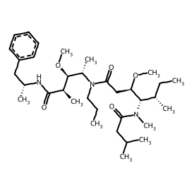 CCCN(C(=O)C[C@@H](OC)[C@H]([C@@H](C)CC)N(C)C(=O)CC(C)C)[C@@H](C)[C@H](OC)[C@@H](C)C(=O)N[C@H](C)Cc1ccccc1